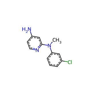 CN(c1cccc(Cl)c1)c1cc(N)ccn1